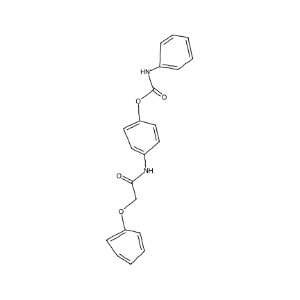 O=C(COc1ccccc1)Nc1ccc(OC(=O)Nc2ccccc2)cc1